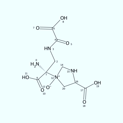 N[C@@](CNC(=O)C(=O)O)(C(=O)O)[N+]1([O-])CNC(C(=O)O)C1